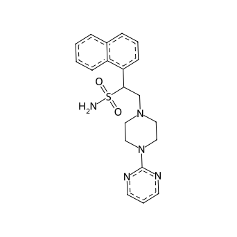 NS(=O)(=O)C(CN1CCN(c2ncccn2)CC1)c1cccc2ccccc12